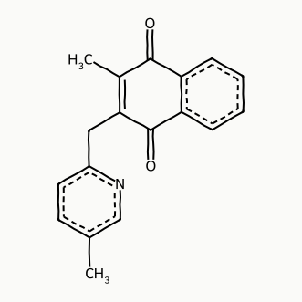 CC1=C(Cc2ccc(C)cn2)C(=O)c2ccccc2C1=O